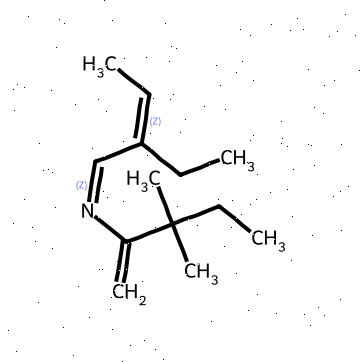 C=C(/N=C\C(=C/C)CC)C(C)(C)CC